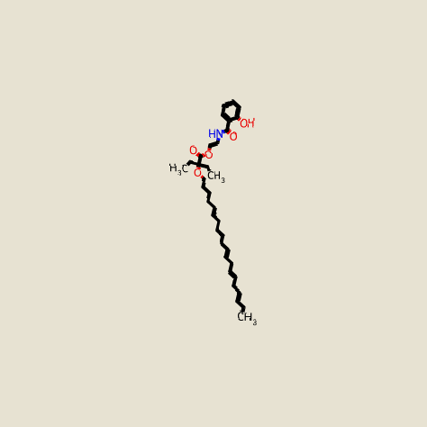 CCC=CCC=CCC=CCC=CCC=CCCCCOC(CC)(CC)C(=O)OCCNC(=O)c1ccccc1O